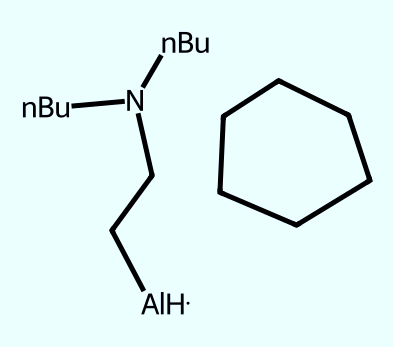 C1CCCCC1.CCCCN(C[CH2][AlH])CCCC